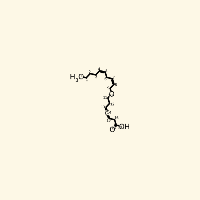 CCCC/C=C\C/C=C\COCCC=C=CCC(=O)O